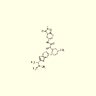 CC1CC[C@H](c2ccc3sc(C(C)N(C)C)nc3c2)N(C(=O)C(=O)Nc2cnc3c(c2)C(=O)BO3)C1